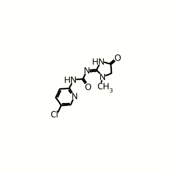 CN1CC(=O)NC1=NC(=O)Nc1ccc(Cl)cn1